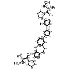 CC(C)[C@H](NO)C(=O)N1CCC[C@H]1c1ncc(-c2ccc(-c3ccc4c(c3)CCc3nc([C@@H]5CCCN5C(=O)[C@@H](NO)C(C)C)[nH]c3C4)s2)[nH]1